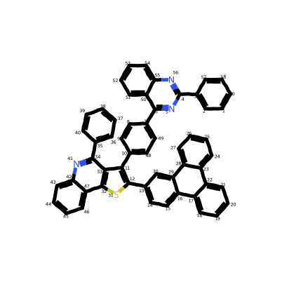 c1ccc(-c2nc(-c3ccc(-c4c(-c5ccc6c7ccccc7c7ccccc7c6c5)sc5c4c(-c4ccccc4)nc4ccccc45)cc3)c3ccccc3n2)cc1